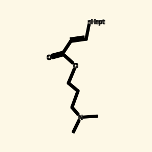 CCCCCCCC=CC(=O)OCCCN(C)C